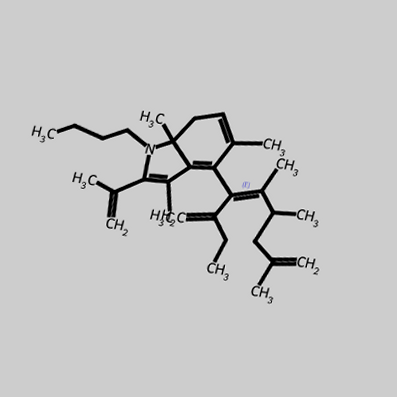 C=C(C)CC(C)/C(C)=C(\C(=C)CC)C1=C2C(C)=C(C(=C)C)N(CCCC)C2(C)CC=C1C